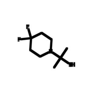 CC(C)(S)N1CCC(F)(F)CC1